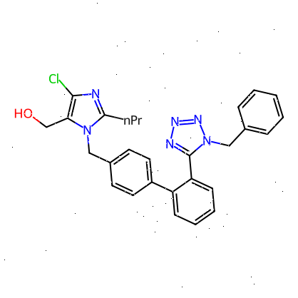 CCCc1nc(Cl)c(CO)n1Cc1ccc(-c2ccccc2-c2nnnn2Cc2ccccc2)cc1